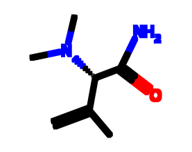 C=C(C)[C@@H](C(N)=O)N(C)C